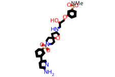 CNS(=O)(=O)c1cccc(OCC(O)CNC2COC3(CCN(S(=O)(=O)c4cccc(-c5ccc(N)nc5)c4)CC3)C2)c1